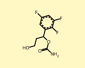 NC(=O)OC(CCO)c1cc(F)cc(F)c1F